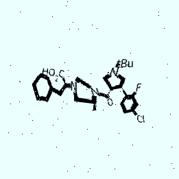 C[C@H]1CN([C@@H](CC2CCCCC2)C(=O)O)CCN1C(=O)[C@@H]1CN(C(C)(C)C)C[C@H]1c1ccc(Cl)cc1F